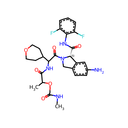 CNC(=O)OC(C)C(=O)NC(C(=O)N1Cc2ccc(N)cc2[C@H]1C(=O)Nc1c(F)cccc1F)C1CCOCC1